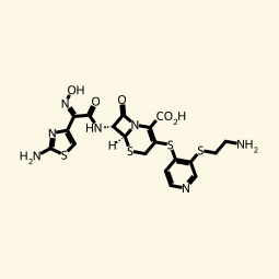 NCCSc1cnccc1SC1=C(C(=O)O)N2C(=O)[C@@H](NC(=O)/C(=N\O)c3csc(N)n3)[C@@H]2SC1